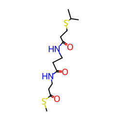 CSC(=O)CCNC(=O)CCNC(=O)CCSC(C)C